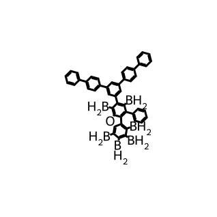 Bc1c(B)c(B)c2c(oc3c(B)c(-c4cc(-c5ccc(-c6ccccc6)cc5)cc(-c5ccc(-c6ccccc6)cc5)c4)c(B)c(-c4ccccc4)c32)c1B